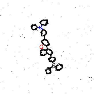 c1ccc(B(c2ccccc2)c2ccc(-c3ccc4c5c(cccc35)Oc3cc(-c5ccc(N(c6ccccc6)c6ccccc6)cc5)ccc3-4)cc2)cc1